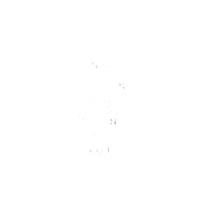 CN1C=Nc2nc(C(=O)O)sc2C1